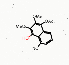 COc1c(OC)c(O)c2c(C#N)cccc2c1OC(C)=O